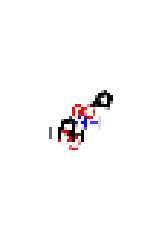 O=C(N[C@@H]1C=C[C@H]2C[C@@H]1C(=O)O2)OCc1ccccc1